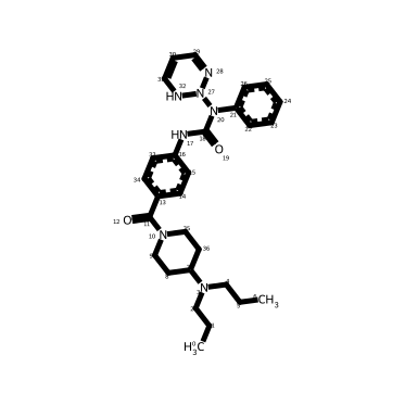 CCCN(CCC)C1CCN(C(=O)c2ccc(NC(=O)N(c3ccccc3)N3N=CC=CN3)cc2)CC1